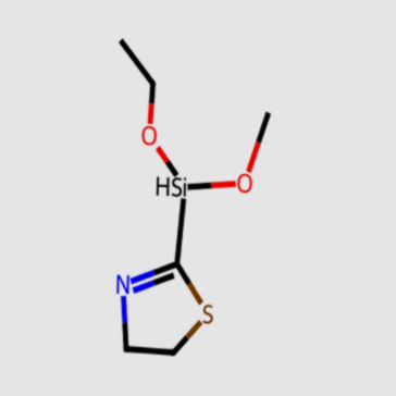 CCO[SiH](OC)C1=NCCS1